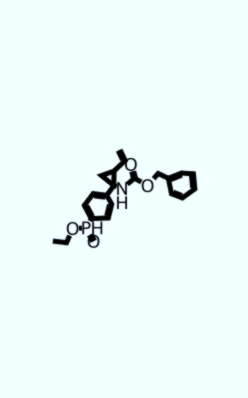 C=CC1CC1(NC(=O)OCc1ccccc1)c1ccc([PH](=O)OCC)cc1